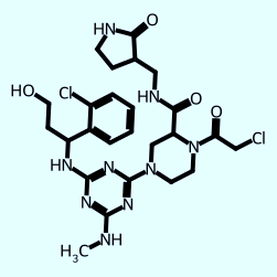 CNc1nc(NC(CCO)c2ccccc2Cl)nc(N2CCN(C(=O)CCl)C(C(=O)NCC3CCNC3=O)C2)n1